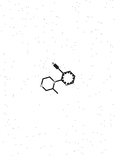 CC1COCCN1c1ncccc1C#N